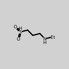 [CH2]CNCCC[SH](=O)=O